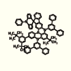 CC(C)(C)c1cc(-c2ccc3c(c2)N(c2cc(-c4ccccc4)cc(-c4ccccc4)c2)c2cc(C(C)(C)C)cc4c2B3c2cc3c(cc2N4c2cc(-c4ccccc4)cc(-c4ccccc4)c2)-c2ccccc2C32c3ccccc3N(c3ccccc3)c3ccccc32)cc(C(C)(C)C)c1